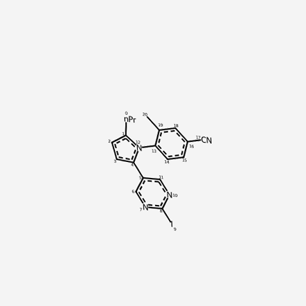 CCCc1ccc(-c2cnc(I)nc2)n1-c1ccc(C#N)cc1C